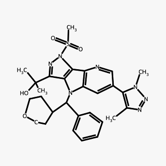 Cc1nnn(C)c1-c1cnc2c3c(c(C(C)(C)O)nn3S(C)(=O)=O)n(C(c3ccccc3)C3CCOCC3)c2c1